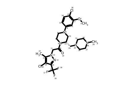 COc1cc(N2CCN(C(=O)Cn3nc(C(F)(F)F)c(Cl)c3C)[C@@H](CN3CCN(C)CC3)C2)ccc1Cl